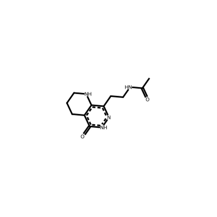 CC(=O)NCCc1n[nH]c(=O)c2c1NCCC2